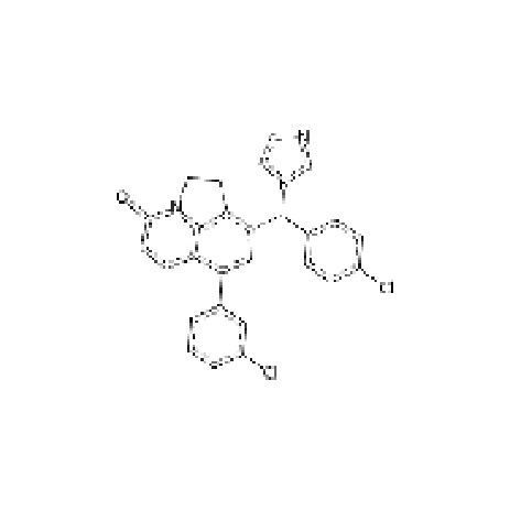 O=c1ccc2c(-c3cccc(Cl)c3)cc(C(c3ccc(Cl)cc3)n3ccnc3)c3c2n1CC3